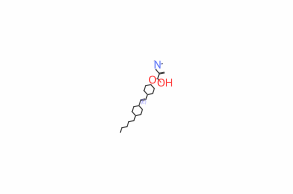 C=C(CN(C)C)C(O)OC1CCC(/C=C/C2CCC(CCCCC)CC2)CC1